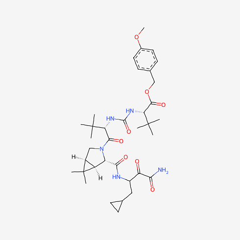 COc1ccc(COC(=O)[C@@H](NC(=O)N[C@H](C(=O)N2C[C@H]3[C@@H]([C@H]2C(=O)NC(CC2CC2)C(=O)C(N)=O)C3(C)C)C(C)(C)C)C(C)(C)C)cc1